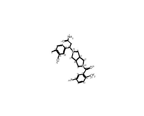 Cc1ccc(C(CC(N)=O)N2CC3CN(C(=O)c4cc(F)ccc4C(F)(F)F)CC3C2)cc1Cl